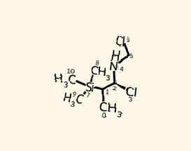 CC([C@H](Cl)NCCl)[Si](C)(C)C